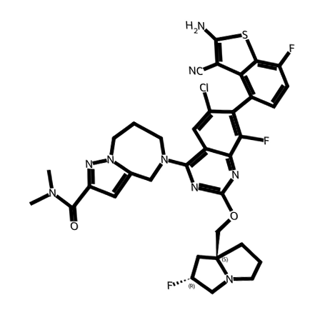 CN(C)C(=O)c1cc2n(n1)CCCN(c1nc(OC[C@@]34CCCN3C[C@H](F)C4)nc3c(F)c(-c4ccc(F)c5sc(N)c(C#N)c45)c(Cl)cc13)C2